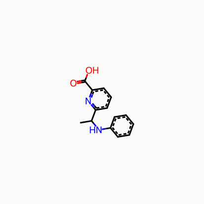 CC(Nc1ccccc1)c1cccc(C(=O)O)n1